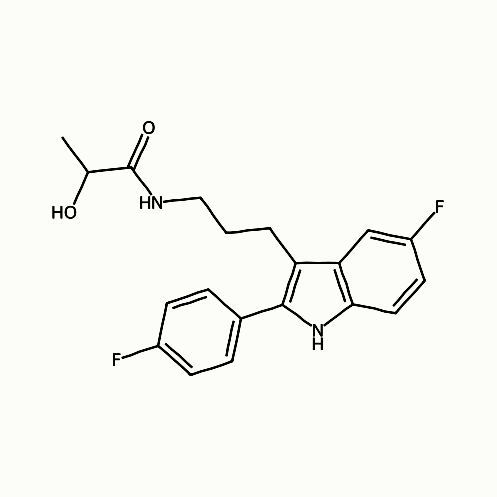 CC(O)C(=O)NCCCc1c(-c2ccc(F)cc2)[nH]c2ccc(F)cc12